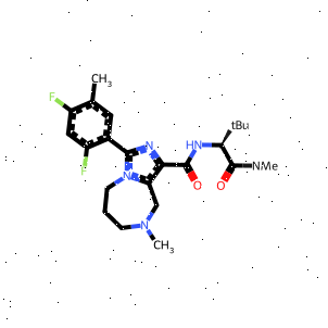 CNC(=O)[C@@H](NC(=O)c1nc(-c2cc(C)c(F)cc2F)n2c1CN(C)CCC2)C(C)(C)C